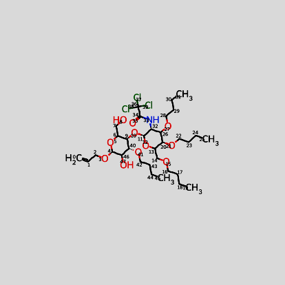 C=CCO[C@H]1OC(CO)[C@@H](O[C@@H]2OC(COCCCC)[C@H](OCCCC)C(OCCCC)[C@@H]2NC(=O)C(Cl)(Cl)Cl)[C@H](OCCCC)C1O